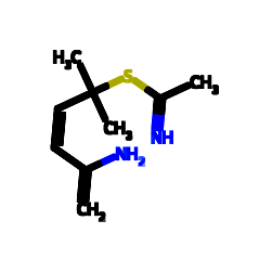 C=C(N)/C=C\C(C)(C)SC(C)=N